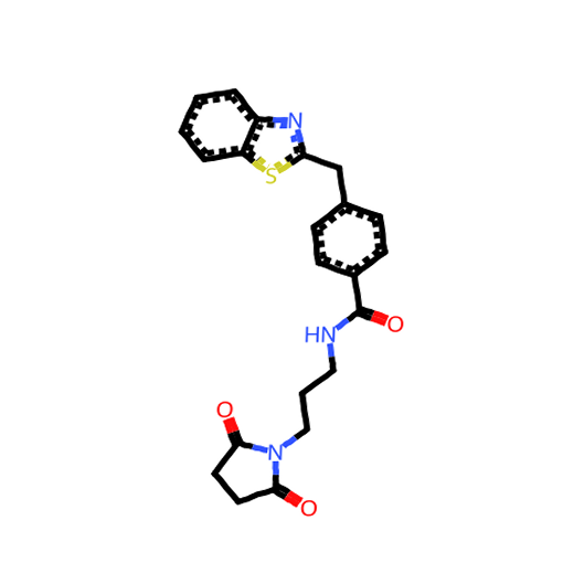 O=C(NCCCN1C(=O)CCC1=O)c1ccc(Cc2nc3ccccc3s2)cc1